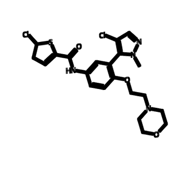 Cn1ncc(Cl)c1-c1cc(NC(=O)C2=CCC(Cl)S2)ccc1OCCN1CCOCC1